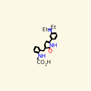 CCN(CC)c1cccc(-c2ccc(Cc3ccccc3NCC(=O)O)c(=O)[nH]2)c1